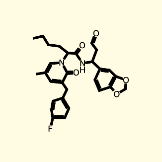 CCCCC(C(=O)NC(CC=O)c1ccc2c(c1)OCO2)n1cc(C)cc(Cc2ccc(F)cc2)c1=O